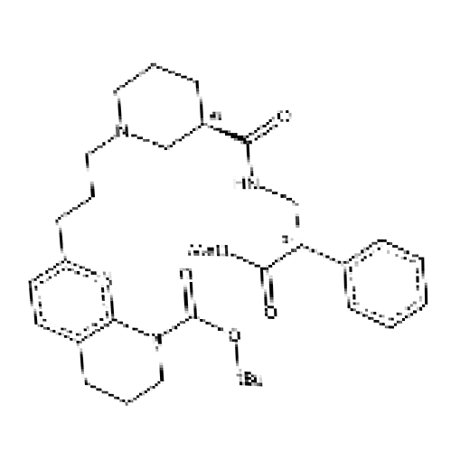 COC(=O)[C@H](CNC(=O)[C@@H]1CCCN(CCCc2ccc3c(n2)N(C(=O)OC(C)(C)C)CCC3)C1)c1ccccc1